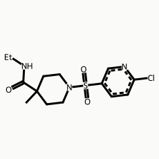 CCNC(=O)C1(C)CCN(S(=O)(=O)c2ccc(Cl)nc2)CC1